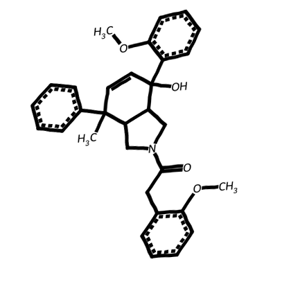 COc1ccccc1CC(=O)N1CC2C(C1)C(O)(c1ccccc1OC)C=CC2(C)c1ccccc1